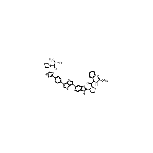 COC(=O)N[C@@H](C(=O)N1CCC[C@H]1c1nc2cc(-c3csc4c(-c5ccc(-c6c[nH]c([C@@H]7CCCN7C(=O)[C@@H](C)C(C)C)n6)cc5)csc34)ccc2[nH]1)c1ccccc1